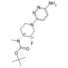 CN(C(=O)OC(C)(C)C)[C@@H]1CCN(c2ccc(N)nn2)C[C@@H]1F